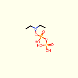 CCN(CC)OP(=O)(O)OP(=O)(O)O